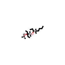 CCCC[Si](C)(C)C(CC)O[Si](C)(C)C(CC)(CC)O[SiH](C)C